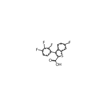 O=C(O)c1sc2cc(F)ccc2c1-c1ccc(F)c(F)c1F